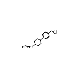 CCCCCC1CCC(c2ccc(CCl)cc2)CC1